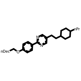 CCCCCCCCCCCOc1ccc(-c2ncc(CCC3CCC(CCC)CC3)cn2)cc1